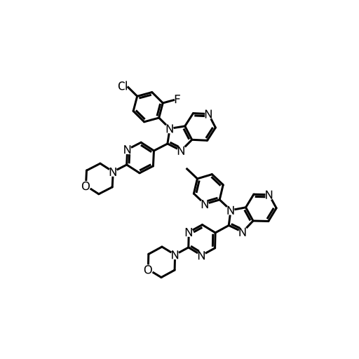 Cc1ccc(-n2c(-c3cnc(N4CCOCC4)nc3)nc3ccncc32)nc1.Fc1cc(Cl)ccc1-n1c(-c2ccc(N3CCOCC3)nc2)nc2ccncc21